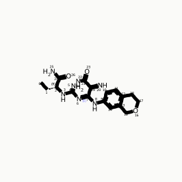 CC[C@@H](NC(=N)/N=C(/Nc1ccc2c(c1)COCC2)C(=N)C(N)=O)C(N)=O